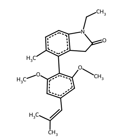 CCN1C(=O)Cc2c1ccc(C)c2-c1c(OC)cc(C=C(C)C)cc1OC